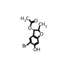 CC(=O)O[C@H]1c2cc(Br)c(O)cc2OC1C